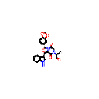 CC(CO)N1CC(=O)N2C(=C(c3c[nH]c4ccccc34)O[C@@H]2c2ccc3c(c2)OCO3)C1=O